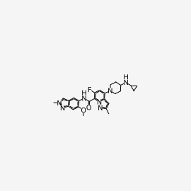 COc1cc2nn(C)cc2cc1NC(=O)c1c(F)cc(N2CCC(NC3CC3)CC2)c2cc(C)nn12